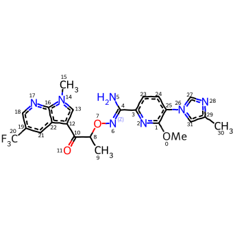 COc1nc(/C(N)=N/OC(C)C(=O)c2cn(C)c3ncc(C(F)(F)F)cc23)ccc1-n1cnc(C)c1